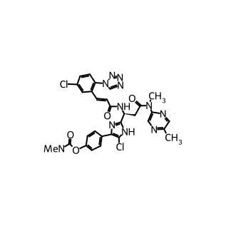 CNC(=O)Oc1ccc(-c2nc([C@H](CC(=O)N(C)c3cnc(C)cn3)NC(=O)/C=C/c3cc(Cl)ccc3-n3cnnn3)[nH]c2Cl)cc1